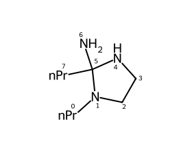 CCCN1CCNC1(N)CCC